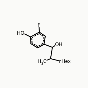 CCCCCCC(C)C(O)c1ccc(O)c(F)c1